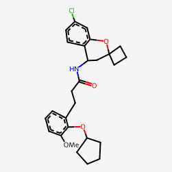 COc1cccc(CCC(=O)NC2CC3(CCC3)Oc3cc(Cl)ccc32)c1OC1CCCC1